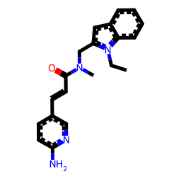 CCn1c(CN(C)C(=O)C=Cc2ccc(N)nc2)cc2ccccc21